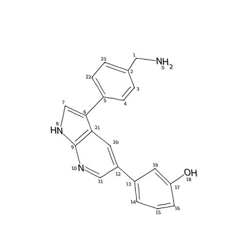 NCc1ccc(-c2c[nH]c3ncc(-c4cccc(O)c4)cc23)cc1